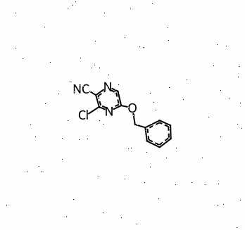 N#Cc1ncc(OCc2ccccc2)nc1Cl